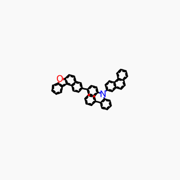 c1ccc(-c2ccccc2N(c2ccc(-c3ccc4c(ccc5oc6ccccc6c54)c3)cc2)c2ccc3c(ccc4ccccc43)c2)cc1